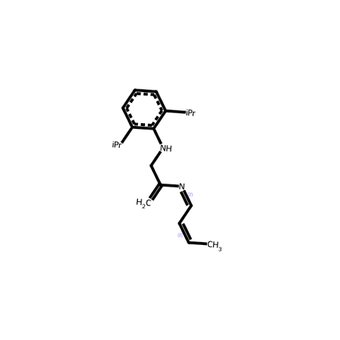 C=C(CNc1c(C(C)C)cccc1C(C)C)/N=C\C=C/C